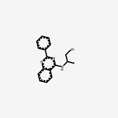 CC(C)CC(C)Nc1nc(-c2ccccc2)nc2ccccc12